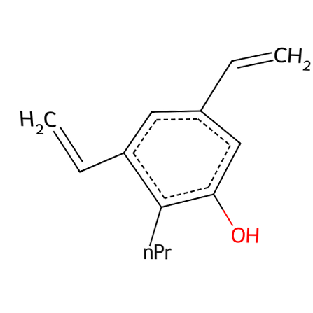 C=Cc1cc(O)c(CCC)c(C=C)c1